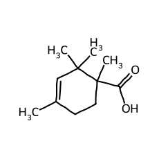 CC1=CC(C)(C)C(C)(C(=O)O)CC1